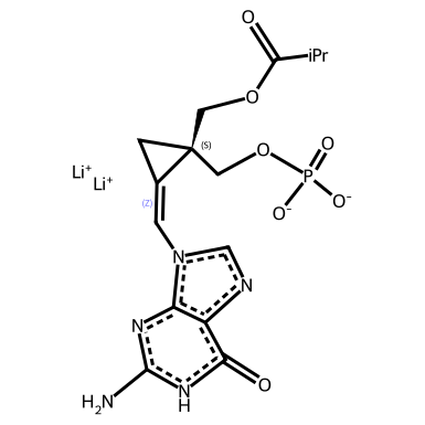 CC(C)C(=O)OC[C@]1(COP(=O)([O-])[O-])C/C1=C/n1cnc2c(=O)[nH]c(N)nc21.[Li+].[Li+]